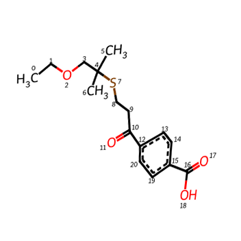 CCOCC(C)(C)SCCC(=O)c1ccc(C(=O)O)cc1